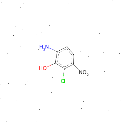 Nc1ccc([N+](=O)[O-])c(Cl)c1O